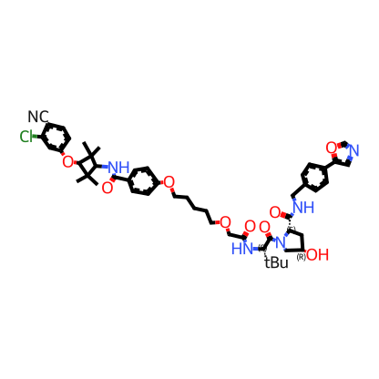 CC1(C)C(NC(=O)c2ccc(OCCCCCOCC(=O)N[C@H](C(=O)N3C[C@H](O)C[C@H]3C(=O)NCc3ccc(-c4cnco4)cc3)C(C)(C)C)cc2)C(C)(C)C1Oc1ccc(C#N)c(Cl)c1